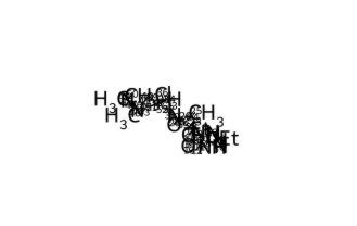 CCc1nc2c(cnn2CC)c(NC2CCOCC2)c1CNC(=O)c1cc(C)cc(C(=O)NCc2ccc(Cl)c(-c3cccc(CN(C)CCN(C)C)c3)c2)c1